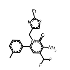 CCc1nc(Cn2c(-c3cccc(C)c3)cc(C(F)F)c(N)c2=O)cs1